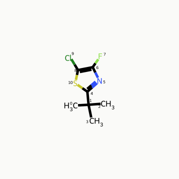 CC(C)(C)c1nc(F)c(Cl)s1